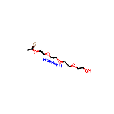 CC(=S)OCCOCCOCCOCCO.N=[N+]=N